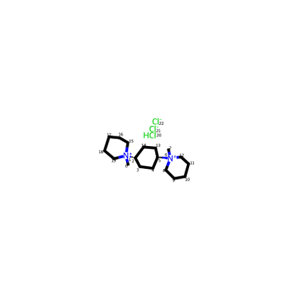 C[N+]1([C@H]2CC[C@H]([N+]3(C)CCCCC3)CC2)CCCCC1.Cl.[Cl-].[Cl-]